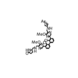 COc1nc(-c2cccc(-c3cccc(-c4cnc(CNC5CN(C(C)=O)C5)c(OC)n4)c3Cl)c2Cl)cnc1CNCC1CCC(=O)N1